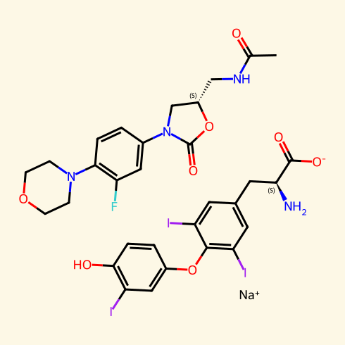 CC(=O)NC[C@H]1CN(c2ccc(N3CCOCC3)c(F)c2)C(=O)O1.N[C@@H](Cc1cc(I)c(Oc2ccc(O)c(I)c2)c(I)c1)C(=O)[O-].[Na+]